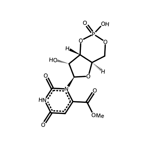 COC(=O)c1cc(=O)[nH]c(=O)n1[C@@H]1O[C@@H]2COP(=O)(O)O[C@H]2[C@H]1O